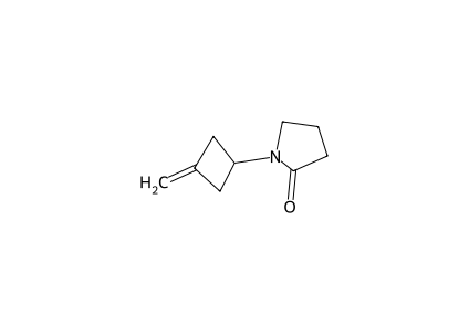 C=C1CC(N2CCCC2=O)C1